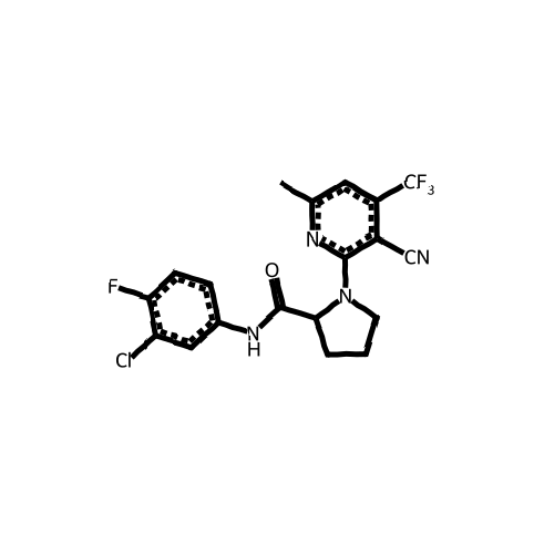 Cc1cc(C(F)(F)F)c(C#N)c(N2CCCC2C(=O)Nc2ccc(F)c(Cl)c2)n1